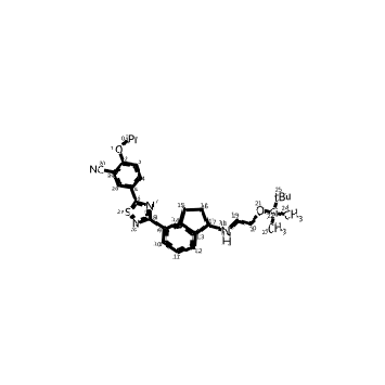 CC(C)Oc1ccc(-c2nc(-c3cccc4c3CCC4NCCO[Si](C)(C)C(C)(C)C)ns2)cc1C#N